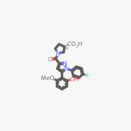 COc1cccc(O)c1-c1cc(C(=O)N2CC[C@H](C(=O)O)C2)nn1C1=C=C=C(F)C=C1